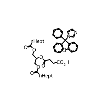 CCCCCCCC(=O)OCC(COC(=O)CCCCCCC)OC(=O)CCC(=O)O.Clc1ccccc1C(c1ccccc1)(c1ccccc1)n1ccnc1